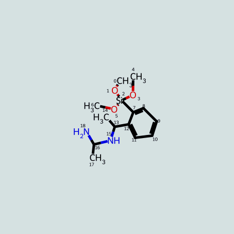 CO[Si](OC)(OC)c1ccccc1C(C)NC(C)N